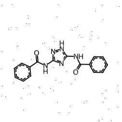 O=C(Nc1n[nH]c(NC(=O)c2ccccc2)n1)c1ccccc1